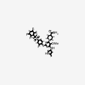 COc1c(Nc2cc(C)[nH]n2)nc(Sc2ccc(S(=O)(=O)C(C)(C)c3c(F)c(F)cc(F)c3F)cc2F)nc1N1CCC(C(N)=O)CC1